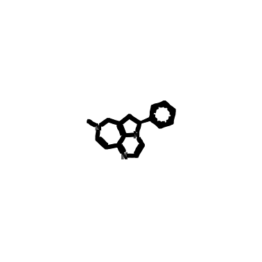 CN1C=CC2=NC=CN3C2=C(C[C@H]3c2ccccc2)C1